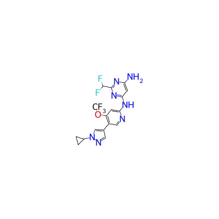 Nc1cc(Nc2cc(OC(F)(F)F)c(-c3cnn(C4CC4)c3)cn2)nc(C(F)F)n1